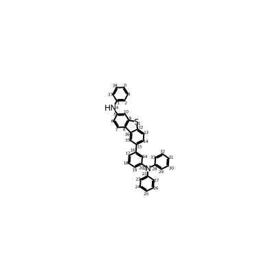 c1ccc(Nc2ccc3c(c2)sc2ccc(-c4cccc(N(c5ccccc5)c5ccccc5)c4)cc23)cc1